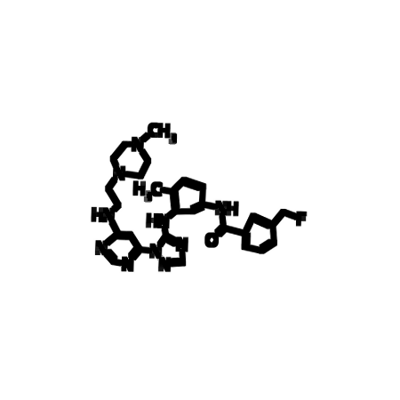 Cc1ccc(NC(=O)c2cccc(CF)c2)cc1Nc1ncnn1-c1cc(NCCN2CCN(C)CC2)ncn1